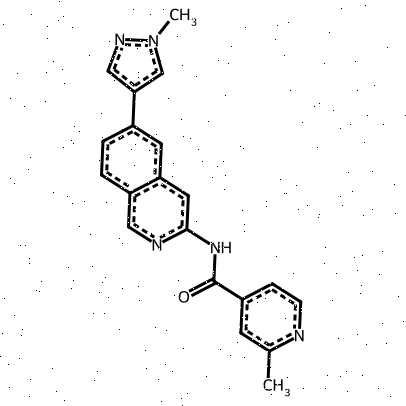 Cc1cc(C(=O)Nc2cc3cc(-c4cnn(C)c4)ccc3cn2)ccn1